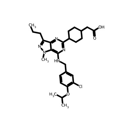 CCCc1nn(C)c2c(NCc3ccc(OC(C)C)c(Cl)c3)nc(C3CCC(CC(=O)O)CC3)nc12